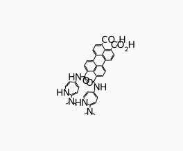 CN(C)C1=CC=C(NC(=O)c2ccc3c4ccc(C(=O)O)c5c(C(=O)O)ccc(c6ccc(C(=O)NC7=CC=C(N(C)C)NC=C7)c2c36)c54)C=CN1